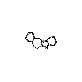 c1ccc2c(c1)CCc1nc3ccccc3n1C2